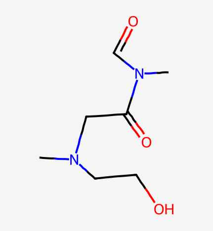 CN(CCO)CC(=O)N(C)C=O